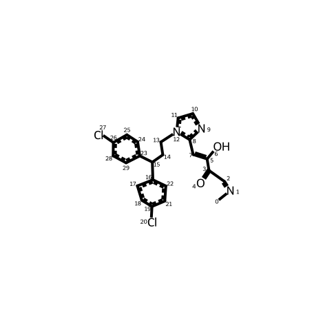 C/N=C\C(=O)/C(O)=C/c1nccn1CCC(c1ccc(Cl)cc1)c1ccc(Cl)cc1